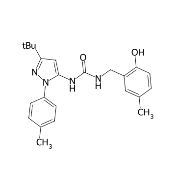 Cc1ccc(-n2nc(C(C)(C)C)cc2NC(=O)NCc2cc(C)ccc2O)cc1